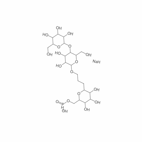 O=[PH](O)OCC1OC(CCCOC2OC(CO)C(OC3OC(CO)C(O)C(O)C3O)C(O)C2O)C(O)C(O)C1O.[NaH]